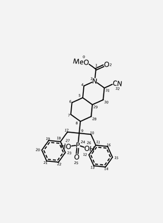 COC(=O)N1CC2CCC(C(Cc3ccccc3)(Cc3ccccc3)P(=O)(O)O)CC2CC1C#N